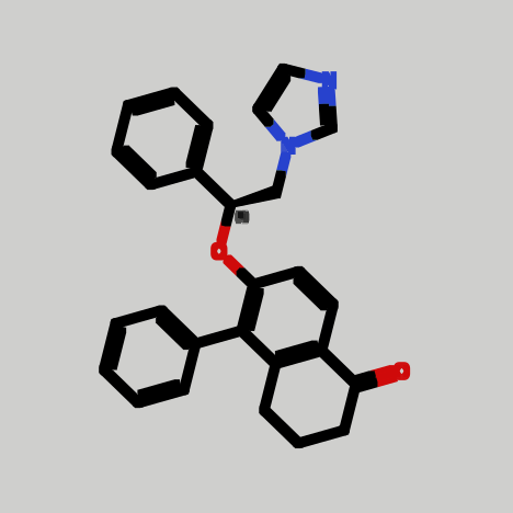 O=C1CCCc2c1ccc(O[C@H](Cn1ccnc1)c1ccccc1)c2-c1ccccc1